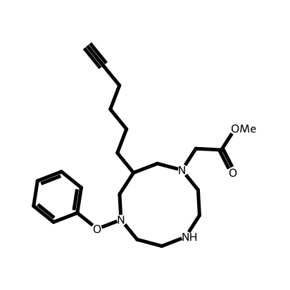 C#CCCCCC1CN(CC(=O)OC)CCNCCN(Oc2ccccc2)C1